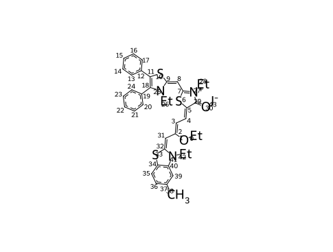 CCOC(=CC=C1SC(C=C2SC(c3ccccc3)=C(c3ccccc3)N2CC)=[N+](CC)C1=O)C=C1Sc2ccc(C)cc2N1CC.[I-]